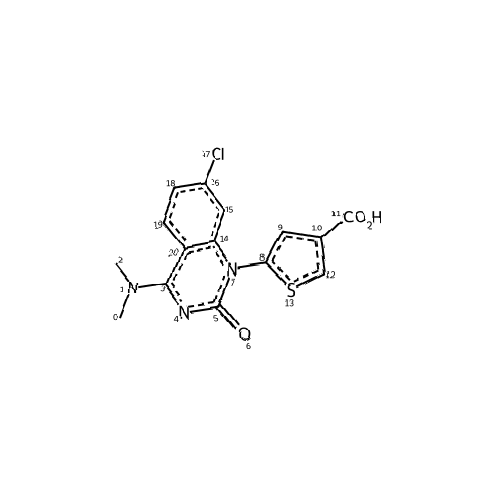 CN(C)c1nc(=O)n(-c2cc(C(=O)O)cs2)c2cc(Cl)ccc12